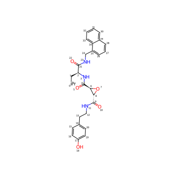 CC(C)C[C@H](NC(=O)[C@H]1O[C@@H]1C(=O)NCCc1ccc(O)cc1)C(=O)NCc1cccc2ccccc12